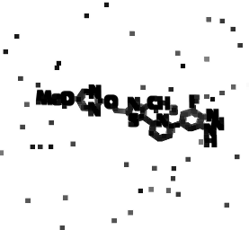 COc1cnc(OCc2nc(C)c(-c3cccc(-c4cc(F)c5nn[nH]c5c4)n3)s2)nc1